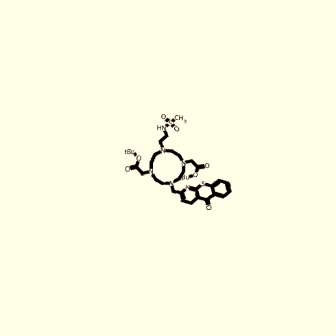 CC(C)(C)OC(=O)CN1CCN(CCNS(C)(=O)=O)CCN(CC(=O)OC(C)(C)C)CCN(CC2=CCC3C(=O)c4ccccc4SC3=N2)CC1